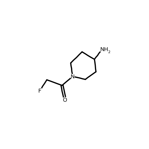 NC1CCN(C(=O)CF)CC1